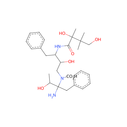 CC(O)C(N)(Cc1ccccc1)N(CC(O)C(Cc1ccccc1)NC(=O)C(C)(O)C(C)(C)CO)C(=O)O